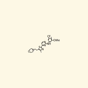 COc1cc(Nc2nccc(-c3nc(C)c(CCN4CCOCC4)s3)n2)cc(C(F)(F)F)c1